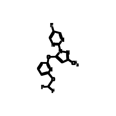 Fc1cnc(-n2nc(C(F)(F)F)cc2Oc2cccc(OC(F)F)n2)nc1